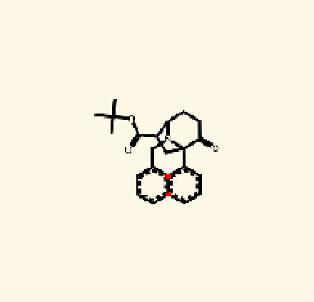 CC(C)(C)OC(=O)C1CC2(c3ccccc3)C(=O)CCC1N2Cc1ccccc1